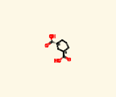 O=C(O)[C@@H]1CCC[C@@H](C(=O)O)C1